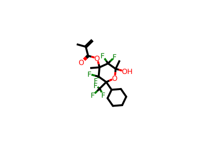 C=C(C)C(=O)OC1(C)C(F)(F)C(C)(O)OC(C2CCCCC2)(C(F)(F)F)C1(F)F